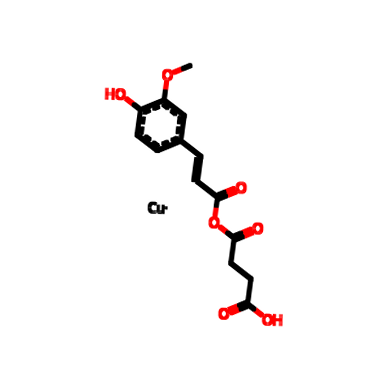 COc1cc(C=CC(=O)OC(=O)CCC(=O)O)ccc1O.[Cu]